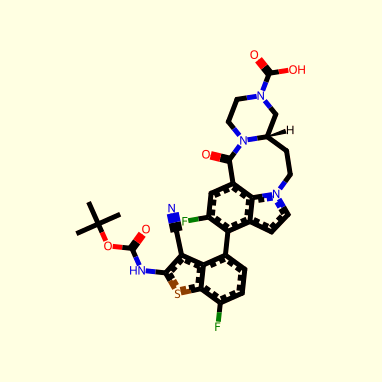 CC(C)(C)OC(=O)Nc1sc2c(F)ccc(-c3c(F)cc4c5c3ccn5CC[C@H]3CN(C(=O)O)CCN3C4=O)c2c1C#N